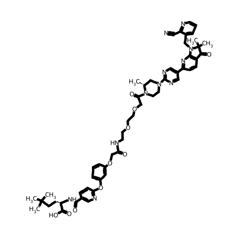 C[C@@H]1CN(c2ncc(-c3ccc4c(n3)N(Cc3cccnc3C#N)C(C)(C)C4=O)cn2)CCN1C(=O)COCCOCCNC(=O)COc1cccc(Oc2ccc(C(=O)N[C@@H](CCC(C)(C)C)C(=O)O)cn2)c1